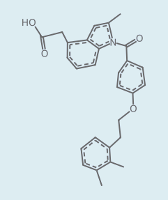 Cc1cccc(CCOc2ccc(C(=O)n3c(C)cc4c(CC(=O)O)cccc43)cc2)c1C